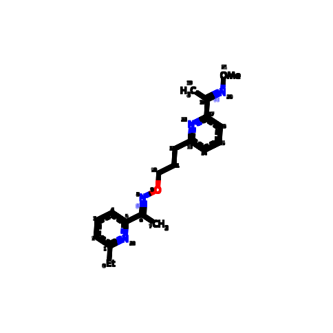 CCc1cccc(/C(C)=N/OCCCc2cccc(/C(C)=N/OC)n2)n1